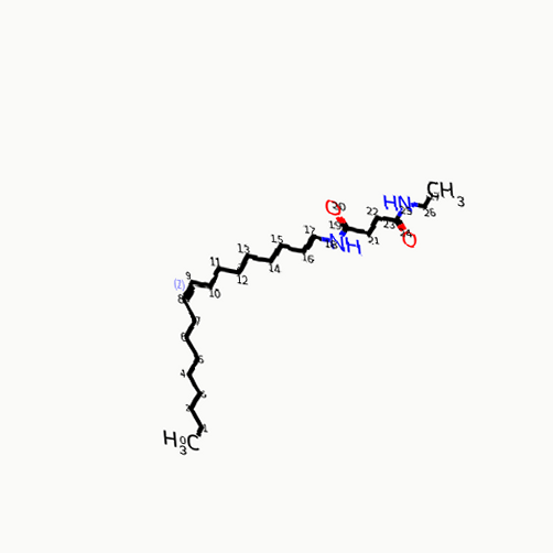 CCCCCCCC/C=C\CCCCCCCCNC(=O)CCC(=O)NCC